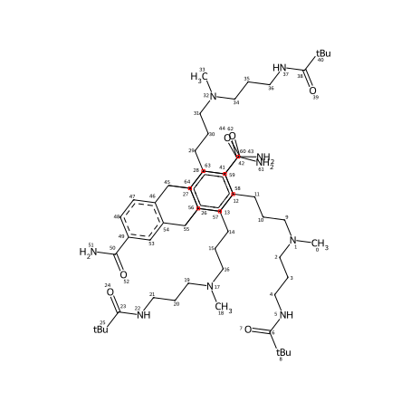 CN(CCCNC(=O)C(C)(C)C)CCCc1c(CCCN(C)CCCNC(=O)C(C)(C)C)c2c(c(CCCN(C)CCCNC(=O)C(C)(C)C)c1C(N)=O)C1c3ccc(C(N)=O)cc3C2c2ccc(C(N)=O)cc21